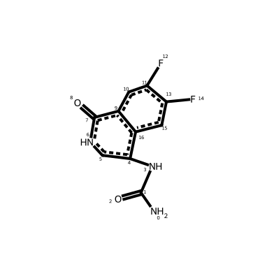 NC(=O)Nc1c[nH]c(=O)c2cc(F)c(F)cc12